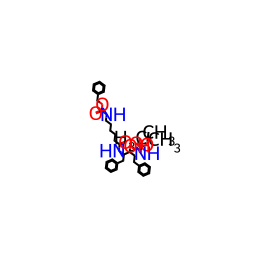 CC(C)(C)OC(=O)NC(Cc1ccccc1)C(O)C(Cc1ccccc1)NC(=O)CCCCCNC(=O)OCc1ccccc1